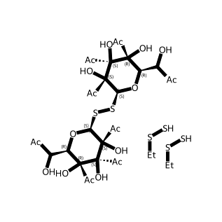 CC(=O)C(O)[C@H]1O[C@@H](SS[C@@H]2O[C@H](C(O)C(C)=O)[C@](O)(C(C)=O)[C@@](O)(C(C)=O)[C@]2(O)C(C)=O)[C@@](O)(C(C)=O)[C@](O)(C(C)=O)[C@@]1(O)C(C)=O.CCSS.CCSS